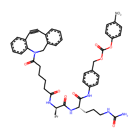 CC(C)[C@@H](NC(=O)CCCCC(=O)N1Cc2ccccc2C#Cc2ccccc21)C(=O)N[C@@H](CCCNC(N)=O)C(=O)Nc1ccc(COC(=O)Oc2ccc([N+](=O)[O-])cc2)cc1